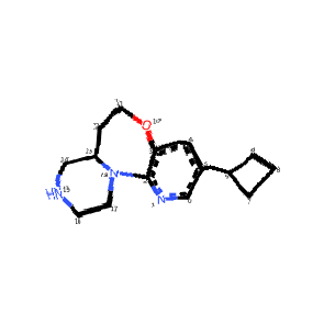 c1nc2c(cc1C1CCC1)OCCC1CNCCN21